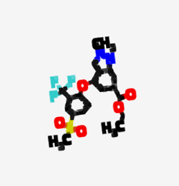 CCOC(=O)c1cc(Oc2ccc(S(C)(=O)=O)cc2C(F)(F)F)c2cn(C)nc2c1